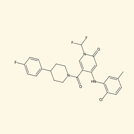 Cc1ccc(Cl)c(Nc2cc(=O)n(C(F)F)cc2C(=O)N2CCC(c3ccc(F)cc3)CC2)c1